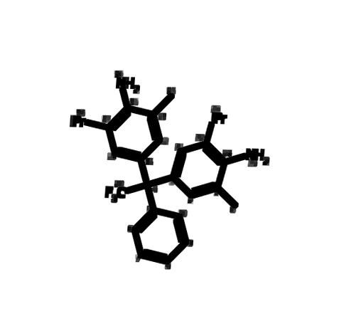 Cc1cc(C(c2ccccc2)(c2cc(C)c(N)c(C(C)C)c2)C(F)(F)F)cc(C(C)C)c1N